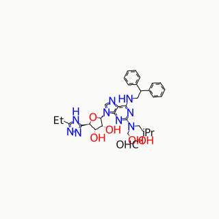 CCc1nnc([C@H]2O[C@@H](n3cnc4c(NCC(c5ccccc5)c5ccccc5)nc(N(CO)CC(C)C)nc43)[C@H](O)[C@@H]2O)[nH]1.O=CO